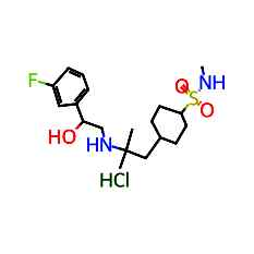 CNS(=O)(=O)C1CCC(CC(C)(C)NCC(O)c2cccc(F)c2)CC1.Cl